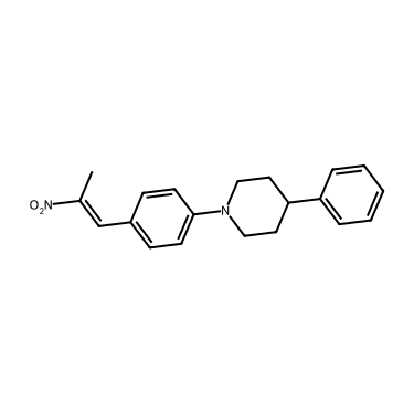 C/C(=C\c1ccc(N2CCC(c3ccccc3)CC2)cc1)[N+](=O)[O-]